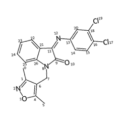 Cc1noc(C)c1CN1C(=O)C(=Nc2ccc(Cl)c(Cl)c2)c2ccccc21